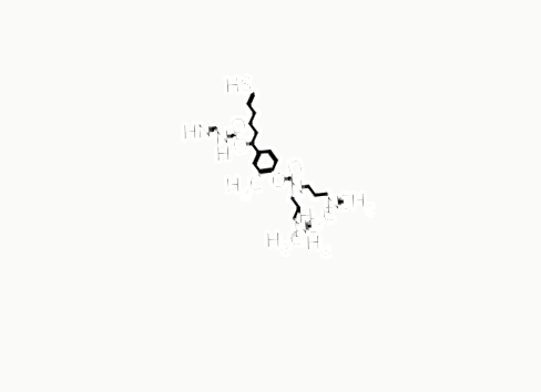 Cc1cc(C(CCC/C=C/S)OC(=O)NC=N)ccc1OC(=O)N(CCCN(C)C)CCCN(C)C